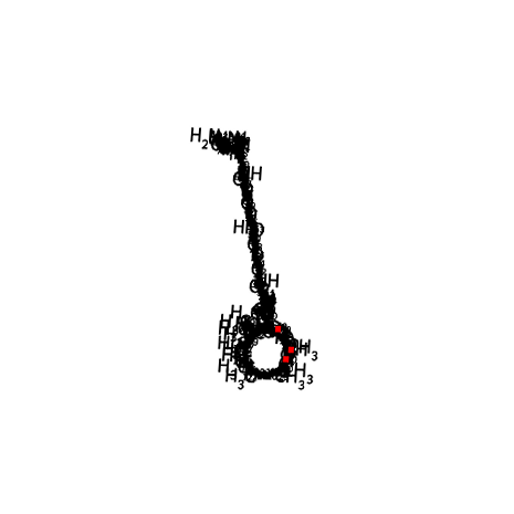 CO[C@H]1C[C@@H]2CC[C@@H](C)[C@@](O)(O2)C(=O)C(=O)N2CCCC[C@H]2C(=O)O[C@H]([C@H](N)C[C@@H]2CC[C@H](n3cc(COC(=O)NCCOCCOCCOCCC(=O)NCCOCCOCCOCCC(=O)NCCCCn4nc(-c5ccc6oc(N)nc6c5)c5c(N)ncnc54)nn3)[C@H](OC)C2)C/C(=N/OC(C)(C)C)[C@H](C)/C=C(\C)[C@@H](O)[C@@H](O)C(=O)[C@H](C)C[C@H](C)/C=C/C=C/C=C/1C